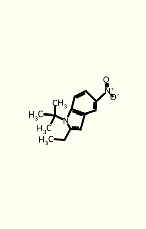 CCc1cc2cc([N+](=O)[O-])ccc2n1C(C)(C)C